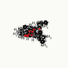 CC[C@H](C)[C@@H]([C@@H](CC(=O)N1CCC[C@H]1C[C@@H](C)C(=O)N[C@H](C)[C@@H](O)c1ccccc1)OC)N(C)C(=O)[C@@H](NC(=O)[C@H](C(C)C)N(C)C(=O)OCc1ccc(NC(=O)[C@H](C)NC(=O)[C@@H](NC(=O)CCNCCC(O)NCCNc2ncc(-c3cc(C)cc(F)c3)c(N3CCC(N)CC3)c2-c2nc3ccc(Cl)cc3[nH]2)C(C)C)c(O[C@@H]2O[C@H](C(=O)O)[C@@H](O)[C@H](O)[C@H]2O)c1)C(C)C